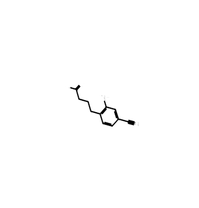 N#Cc1ccc(CCCC(=O)O)c(N)c1